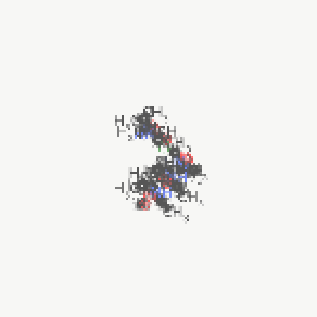 CC(C)(C)N(NC(=O)c1ccc(Cl)cc1)C(=O)c1ccccc1.CCc1ccc(C(=O)NN(C(=O)c2cc(C)cc(C)c2)C(C)(C)C)cc1.CCc1ccc(C(=O)NN(C(=O)c2cc(C)cc(C)c2)C(C)(C)C)cc1.COc1cccc(C(=O)NN(C(=O)c2cc(C)cc(C)c2)C(C)(C)C)c1C.c1ccoc1